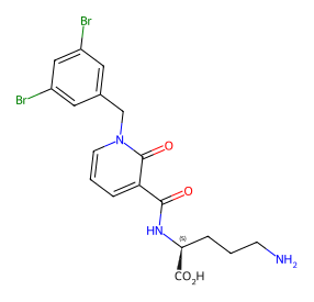 NCCC[C@H](NC(=O)c1cccn(Cc2cc(Br)cc(Br)c2)c1=O)C(=O)O